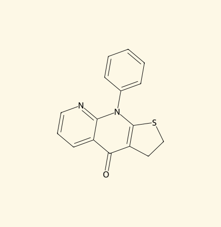 O=c1c2c(n(-c3ccccc3)c3ncccc13)SCC2